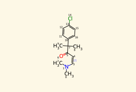 CN(C)/C=C\C(=O)C(C)(C)c1ccc(Cl)cc1